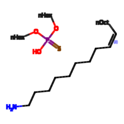 CCCCCCCC/C=C\CCCCCCCCN.CCCCCCOP(O)(=S)OCCCCCC